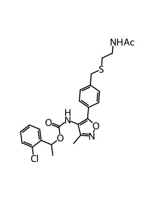 CC(=O)NCCSCc1ccc(-c2onc(C)c2NC(=O)OC(C)c2ccccc2Cl)cc1